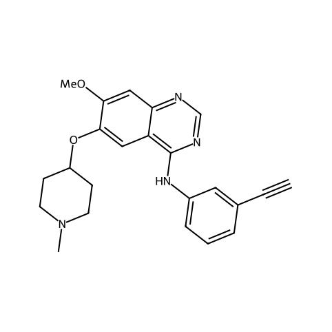 C#Cc1cccc(Nc2ncnc3cc(OC)c(OC4CCN(C)CC4)cc23)c1